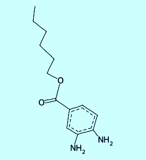 CCCCCCOC(=O)c1ccc(N)c(N)c1